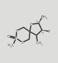 B[C@@H]1OC2(CSP(C)(=O)SC2)C(C)[C@@H]1F